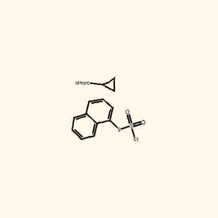 CCCCCCCC1CC1.CCS(=O)(=O)Sc1cccc2ccccc12